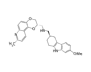 COc1ccc2c3c([nH]c2c1)CC[C@@H](CNC[C@H]1COc2ccc4nc(C)ccc4c2O1)C3